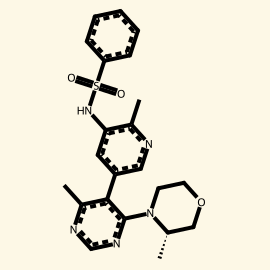 Cc1ncc(-c2c(C)ncnc2N2CCOC[C@@H]2C)cc1NS(=O)(=O)c1ccccc1